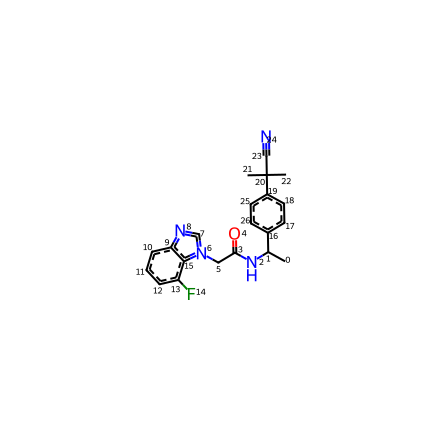 CC(NC(=O)Cn1cnc2cccc(F)c21)c1ccc(C(C)(C)C#N)cc1